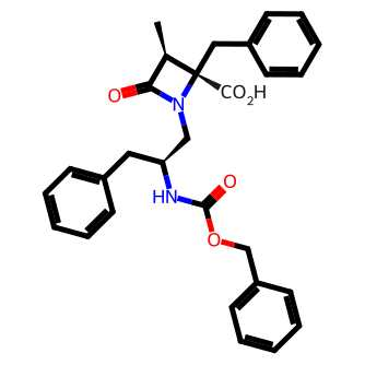 C[C@@H]1C(=O)N(C[C@H](Cc2ccccc2)NC(=O)OCc2ccccc2)[C@]1(Cc1ccccc1)C(=O)O